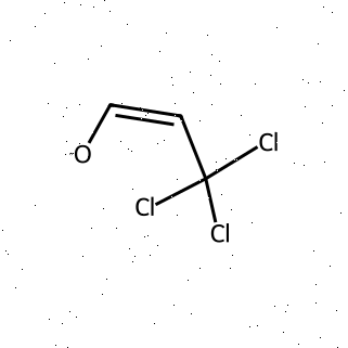 [O]/C=C\C(Cl)(Cl)Cl